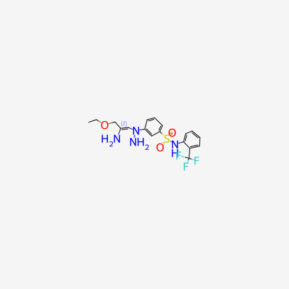 CCOC/C(N)=C/N(N)c1cccc(S(=O)(=O)Nc2ccccc2C(F)(F)F)c1